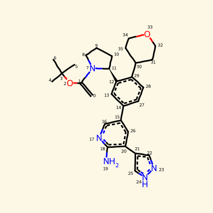 C=C(OC(C)(C)C)N1CCC[C@H]1c1cc(-c2cnc(N)c(-c3cn[nH]c3)c2)ccc1C1CCOCC1